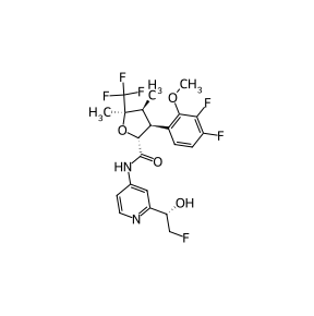 COc1c([C@H]2[C@H](C(=O)Nc3ccnc([C@H](O)CF)c3)O[C@@](C)(C(F)(F)F)[C@H]2C)ccc(F)c1F